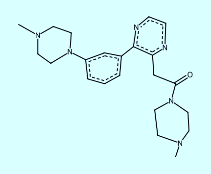 CN1CCN(C(=O)Cc2nccnc2-c2cccc(N3CCN(C)CC3)c2)CC1